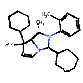 Cc1ccccc1N1C(C2CCCCC2)N2C=CC(C)(C3CCCCC3)C2[C@@H]1C